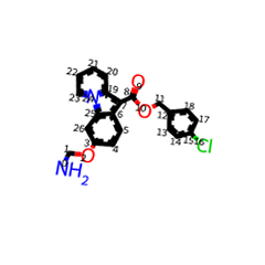 NCOc1ccc2c(C(=O)OCc3ccc(Cl)cc3)c3ccccn3c2c1